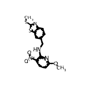 COc1ccc([N+](=O)[O-])c(NCc2ccc3nc(SC)sc3c2)n1